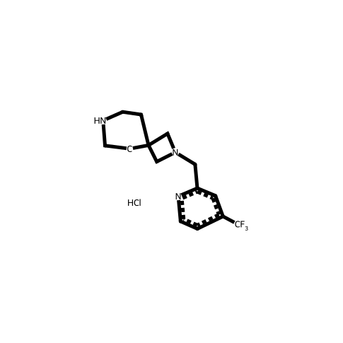 Cl.FC(F)(F)c1ccnc(CN2CC3(CCNCC3)C2)c1